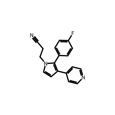 N#CCCn1ccc(-c2ccncc2)c1-c1ccc(F)cc1